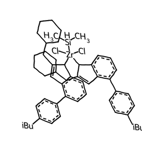 CCC(C)c1ccc(-c2cccc3c2C=C(CC2CCCCC2)[CH]3[Zr]([Cl])([Cl])([CH]2C(CC3CCCCC3)=Cc3c(-c4ccc(C(C)CC)cc4)cccc32)[SiH](C)C)cc1